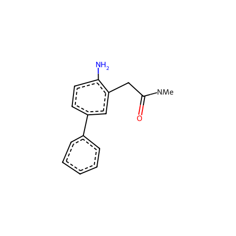 CNC(=O)Cc1cc(-c2ccccc2)ccc1N